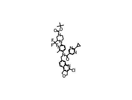 Cc1nc(N2CCN(C(=O)OC(C)(C)C)CC2C(F)(F)F)ccc1N(Cc1ccc2c3c(c(Cl)nc2c1)COC3)C(=O)c1cnc(C2CC2)nc1